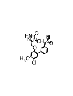 Cc1cc(OCc2n[nH]c(=O)n2C)c(-c2cccc(C[SH](=O)=O)c2)cc1Cl